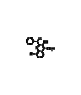 CCC(c1ccccc1)c1nc2c(C(C)C)cccc2c(C(=O)O)c1O